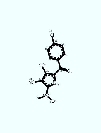 C[S+]([O-])c1sc(C(=O)c2ccc(Cl)cc2)c(Cl)c1C#N